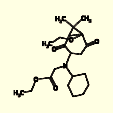 CCOC(=O)CN(C1CCCCC1)C1CC(=O)C2(OCC)C(C1=O)C2(C)C